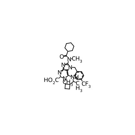 CC(NC1=c2c(nc(N(C)C(=O)C3CCCCC3)n2Cc2ccc(C(F)(F)F)cc2)=N[C@H](C(=O)O)N1C)C1CCC1